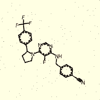 N#Cc1ccc(CNc2ncnc(N3CCCC3c3ccc(C(F)(F)F)cc3)c2F)cc1